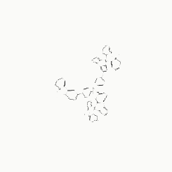 c1ccc2c(c1)Oc1ccccc1C21c2ccccc2-c2cc(-c3ccc(N(c4ccc(-c5ccc6sc7ccccc7c6c5)cc4)c4ccc5c(c4)C4(c6ccccc6Oc6ccccc64)c4ccccc4-5)cc3)ccc21